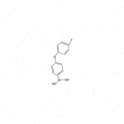 OB(O)c1ccc(Oc2ccc(F)cc2)cc1